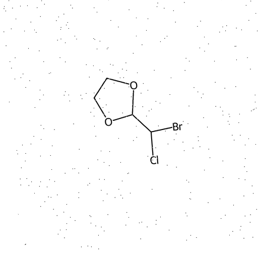 ClC(Br)C1OCCO1